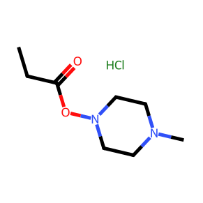 CCC(=O)ON1CCN(C)CC1.Cl